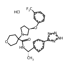 C[C@H](NC(=O)C1(N2CC[C@@H](Oc3cccc(C(F)(F)F)c3)C2)CCOCC1)c1ccc(-c2nn[nH]n2)cc1.Cl